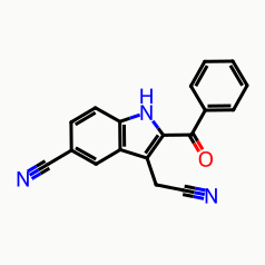 N#CCc1c(C(=O)c2ccccc2)[nH]c2ccc(C#N)cc12